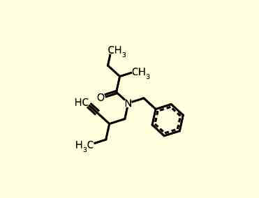 C#CC(CC)CN(Cc1ccccc1)C(=O)C(C)CC